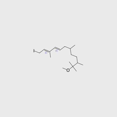 COC(C)(C)C(C)CCC(C)C/C=C/C(C)=C/CI